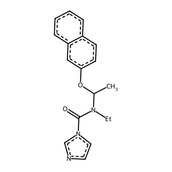 CCN(C(=O)n1ccnc1)C(C)Oc1ccc2ccccc2c1